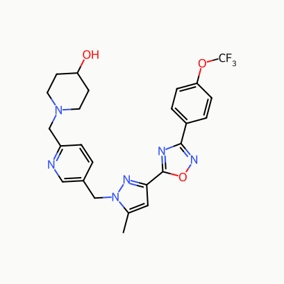 Cc1cc(-c2nc(-c3ccc(OC(F)(F)F)cc3)no2)nn1Cc1ccc(CN2CCC(O)CC2)nc1